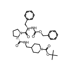 CC(C)(C)OC(=O)N1CCC(CNC(=O)[C@@H]2CCCN2C(=O)[C@@H](Cc2ccccc2)NC(=O)OCc2ccccc2)CC1